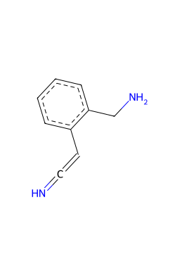 N=C=Cc1ccccc1CN